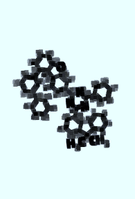 CC1(C)c2ccccc2-c2c(-c3nc(-c4ccccc4)nc(-c4ccc5c(c4)oc4cccc(-c6cccc(-c7ccccc7)c6)c45)n3)cccc21